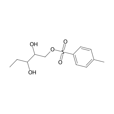 CCC(O)C(O)COS(=O)(=O)c1ccc(C)cc1